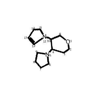 [C]1OCCC(N2CCCC2)C1N1C=CCC1